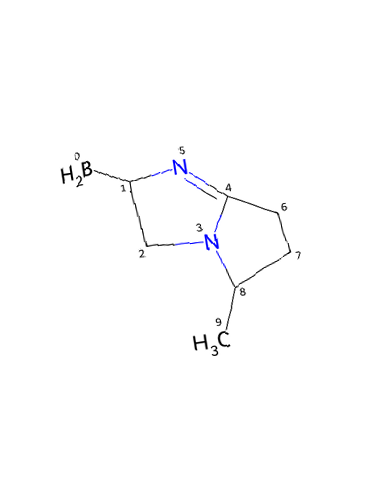 BC1CN2C(=N1)CCC2C